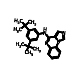 CC(C)(C)c1cc(Nc2nc3ccccc3n3cncc23)cc(C(C)(C)C)c1